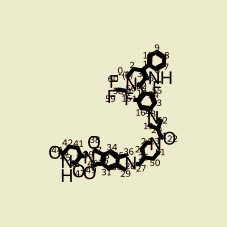 C[C@@H]1Cc2c([nH]c3ccccc23)[C@@H](c2c(F)cc(N3CC(C(=O)N4CCC(CN5Cc6cc7c(cc6C5)C(=O)N(C5CCC(=O)NC5=O)C7=O)CC4)C3)cc2F)N1CC(F)F